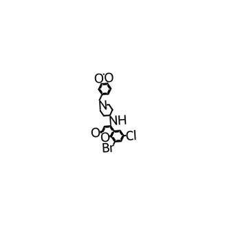 O=c1cc(NC2CCN(Cc3ccc4c(c3)OCO4)CC2)c2cc(Cl)cc(Br)c2o1